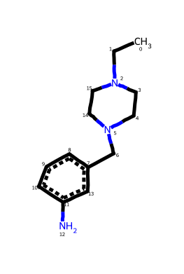 CCN1CCN(Cc2cc[c]c(N)c2)CC1